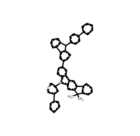 CC1(C)c2ccccc2-c2cc3c4cc(-c5ccc6c(c5)-c5ccccc5C6c5ccc(-c6ccccc6)cc5)ccc4n(-c4cccc(-c5ccccc5)c4)c3cc21